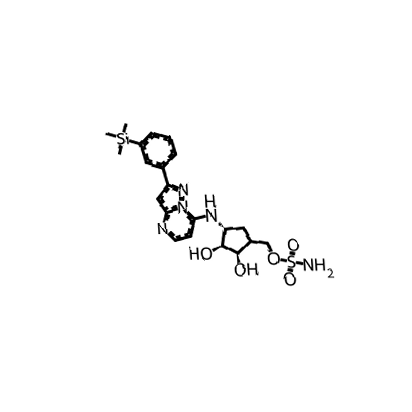 C[Si](C)(C)c1cccc(-c2cc3nccc(N[C@@H]4CC(COS(N)(=O)=O)[C@@H](O)[C@H]4O)n3n2)c1